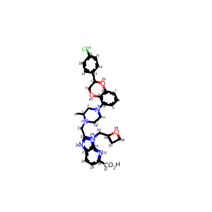 CC1CN(c2cccc3c2OCC(c2ccc(Cl)cc2)O3)CCN1Cc1nc2ccc(C(=O)O)nc2n1CC1CCO1